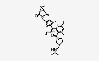 C=C/C=C(/c1nc(I)cc(C)c1C(=O)N1CCC(CNC(C)C)C1)c1sc(CN2C(=C)C3C(C2=O)C3(C)C)cc1C